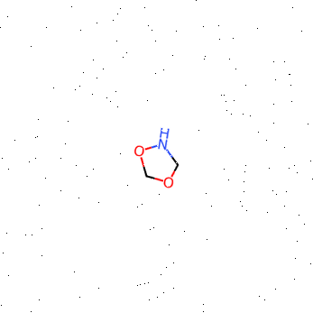 C1NOCO1